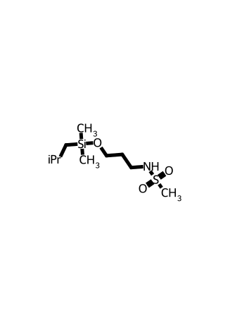 CC(C)C[Si](C)(C)OCCCNS(C)(=O)=O